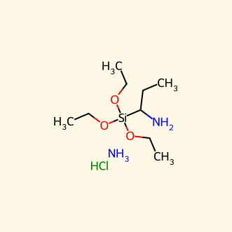 CCO[Si](OCC)(OCC)C(N)CC.Cl.N